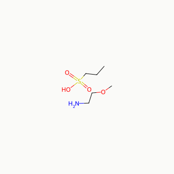 CCCS(=O)(=O)O.COCCN